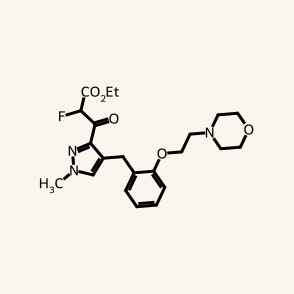 CCOC(=O)C(F)C(=O)c1nn(C)cc1Cc1ccccc1OCCN1CCOCC1